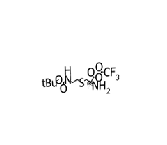 CC(C)(C)OC(=O)NCCSC[C@](C)(N)C(=O)OC(=O)C(F)(F)F